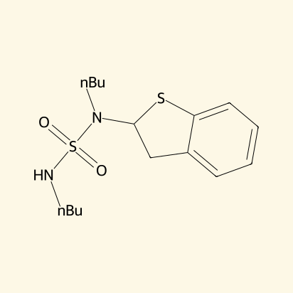 CCCCNS(=O)(=O)N(CCCC)C1Cc2ccccc2S1